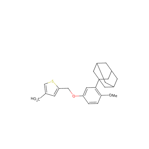 COc1ccc(OCc2cc(C(=O)O)cs2)cc1C12CC3CC(CC(C3)C1)C2